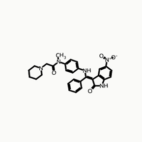 CN(C(=O)CN1CCCCC1)c1ccc(NC(=C2C(=O)Nc3ccc([N+](=O)[O-])cc32)c2ccccc2)cc1